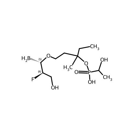 B[C@H](OCCC(C)(CC)OP(=O)(O)C(C)O)[C@H](F)CO